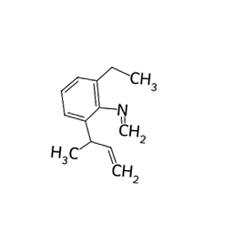 C=CC(C)c1cccc(CC)c1N=C